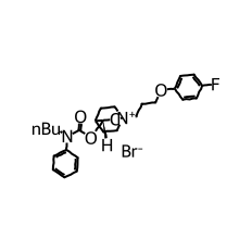 CCCCN(C(=O)O[C@H]1C[N+]2(CCCOc3ccc(F)cc3)CCC1CC2)c1ccccc1.[Br-]